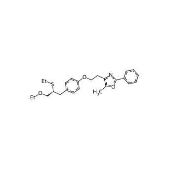 CCOC[C@H](Cc1ccc(OCCc2nc(-c3ccccc3)oc2C)cc1)SCC